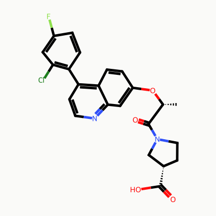 C[C@@H](Oc1ccc2c(-c3ccc(F)cc3Cl)ccnc2c1)C(=O)N1CC[C@H](C(=O)O)C1